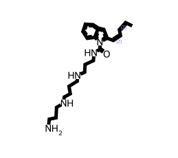 C/C=C\C=C/c1cc2ccccc2n1C(=O)NCCCNCCCCNCCCN